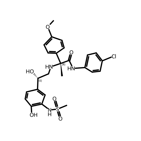 COc1ccc([C@@](C)(NC[C@@H](O)c2ccc(O)c(NS(C)(=O)=O)c2)C(=O)Nc2ccc(Cl)cc2)cc1